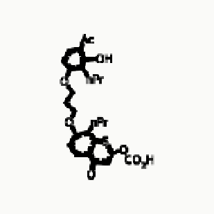 CCCc1c(OCCCOc2ccc3c(=O)cc(OC(=O)O)sc3c2CCC)ccc(C(C)=O)c1O